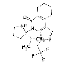 CC(C)[C@]1(n2c(=O)c3c(c4cnn(CC(F)(F)F)c42)CCCC3)CCCN1